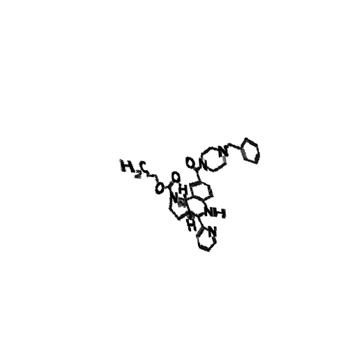 C=CCOC(=O)N1CC[C@H]2C(c3ccccn3)Nc3ccc(C(=O)N4CCN(Cc5ccccc5)CC4)cc3[C@H]21